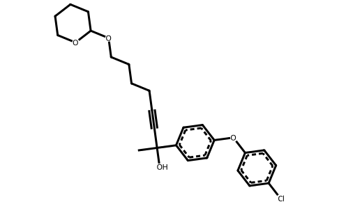 CC(O)(C#CCCCCOC1CCCCO1)c1ccc(Oc2ccc(Cl)cc2)cc1